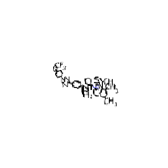 Cc1cc(C)c(N2/C(=N/C(=O)Nc3ccc(-c4ncn(-c5ccc(OC(F)(F)F)cc5)n4)cc3)SCC2C)c(C)c1